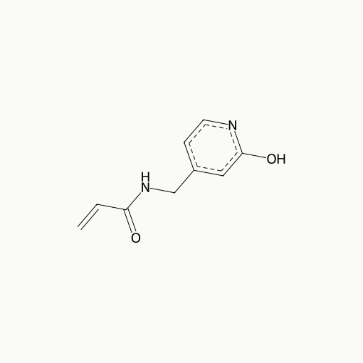 C=CC(=O)NCc1ccnc(O)c1